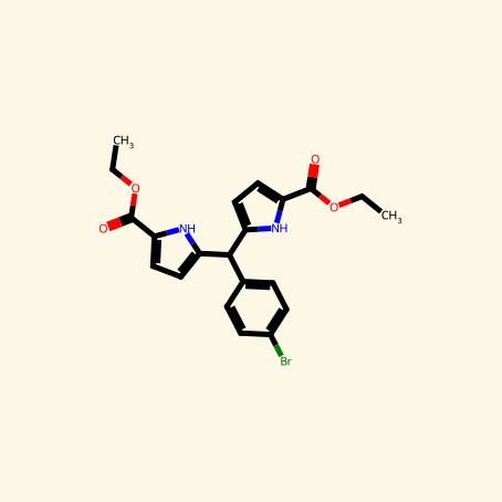 CCOC(=O)c1ccc(C(c2ccc(Br)cc2)c2ccc(C(=O)OCC)[nH]2)[nH]1